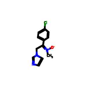 C[N+]([O-])=C(Cn1ccnc1)c1ccc(Cl)cc1